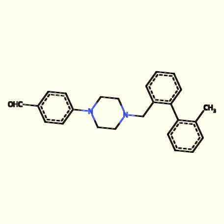 Cc1ccccc1-c1ccccc1CN1CCN(c2ccc(C=O)cc2)CC1